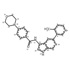 Cc1ccncc1-c1cc2c(NC(=O)c3ccc(N4CCOCC4)cc3)n[nH]c2cn1